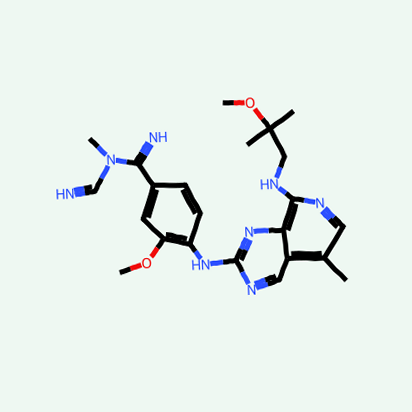 COc1cc(C(=N)N(C)C=N)ccc1Nc1ncc2c(C)cnc(NCC(C)(C)OC)c2n1